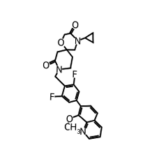 COc1c(-c2cc(F)c(CN3CCC4(CC3=O)CN(C3CC3)C(=O)CO4)c(F)c2)ccc2cccnc12